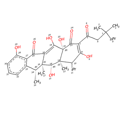 CCCC(C)(C)CC(=O)C1=C(O)C(C(C)C)[C@@]2(C)[C@H](O)[C@]3(C)C(=C(O)[C@@]2(O)C1=O)C(=O)c1c(O)cccc1[C@H]3C